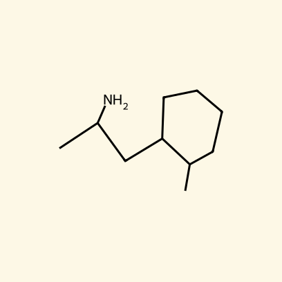 CC(N)CC1CCCCC1C